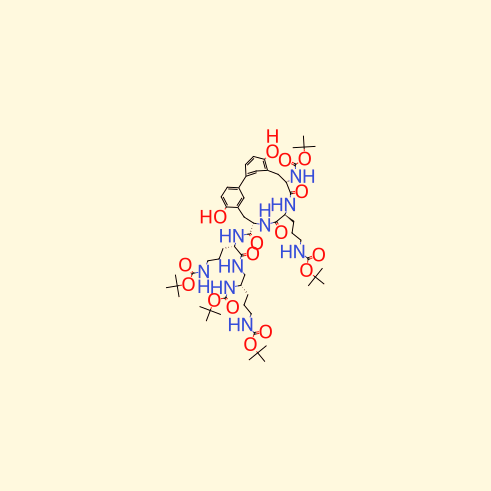 CC(C)(C)OC(=O)NCCC[C@@H](CNC(=O)[C@H](CCCNC(=O)OC(C)(C)C)NC(=O)[C@@H]1Cc2cc(ccc2O)-c2ccc(O)c(c2)C[C@H](NC(=O)OC(C)(C)C)C(=O)N[C@@H](CCCNC(=O)OC(C)(C)C)C(=O)N1)NC(=O)OC(C)(C)C